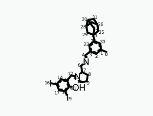 Cc1cc(/C=N/CC2CCCN2Cc2cc(I)cc(I)c2O)cc(C23CC4CC(C2)C(C4)C3)c1